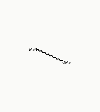 CNCCCCCCCCCCCCCCCOC